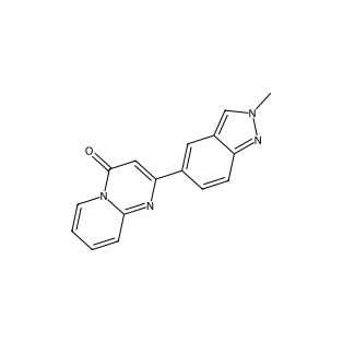 Cn1cc2cc(-c3cc(=O)n4ccccc4n3)ccc2n1